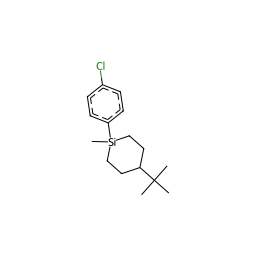 CC(C)(C)C1CC[Si](C)(c2ccc(Cl)cc2)CC1